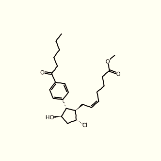 CCCCCC(=O)c1ccc([C@@H]2[C@@H](C/C=C\CCCC(=O)OC)[C@H](Cl)C[C@H]2O)cc1